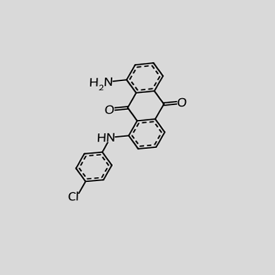 Nc1cccc2c1C(=O)c1c(Nc3ccc(Cl)cc3)cccc1C2=O